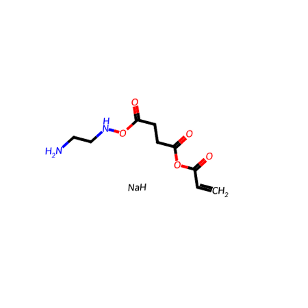 C=CC(=O)OC(=O)CCC(=O)ONCCN.[NaH]